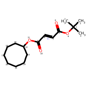 CC(C)(C)OC(=O)/C=C/C(=O)OC1CCCCCCC1